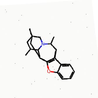 CC1CC2(C)CC3c4oc5ccccc5c4CC(C)N(C2)C13